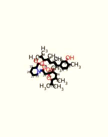 CC(=C\C1C=CC(C)C(O)C1)/C=C(\C)C(OC(=O)C1CCCCN1C(=O)CC1(O)OC(C(C)C)C(C)CC1C)C(C)C